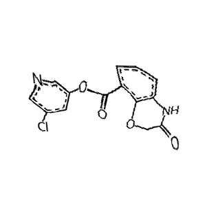 O=C1COc2c(cccc2C(=O)Oc2cncc(Cl)c2)N1